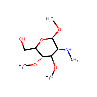 CN[C@H]1C(OC)[C@H](OC)C(CO)O[C@H]1OC